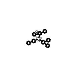 c1ccc(-c2ccc(-c3nc(-c4ccc(-c5ccccc5)c(-c5ccccc5)c4)nc(-c4cc(-c5ccccc5)cc5oc6ccccc6c45)n3)cc2)cc1